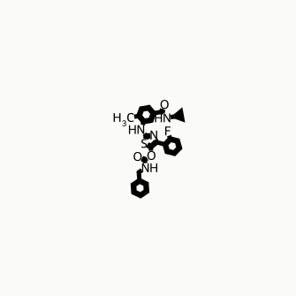 Cc1ccc(C(=O)NC2CC2)cc1Nc1nc(-c2ccccc2F)c(OC(=O)NCc2ccccc2)s1